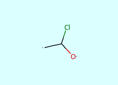 [CH2]C([O])Cl